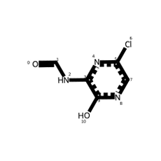 O=CNc1nc(Cl)cnc1O